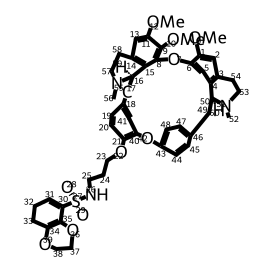 COc1cc2c3cc1Oc1c(OC)c(OC)cc4c1[C@@H](Cc1ccc(OCCCNS(=O)(=O)C5=CCCC6=C5OCCO6)c(c1)Oc1ccc(cc1)C[C@@H]3N(C)CC2)N(C)CC4